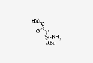 CC(C)(C)OC(=O)CC[C@H](N)C(C)(C)C